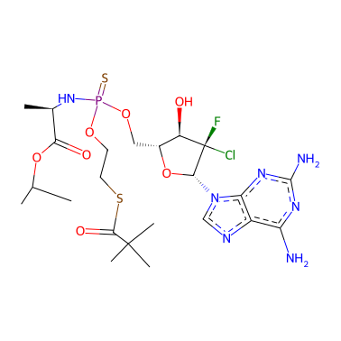 CC(C)OC(=O)[C@@H](C)NP(=S)(OCCSC(=O)C(C)(C)C)OC[C@H]1O[C@@H](n2cnc3c(N)nc(N)nc32)[C@@](F)(Cl)[C@@H]1O